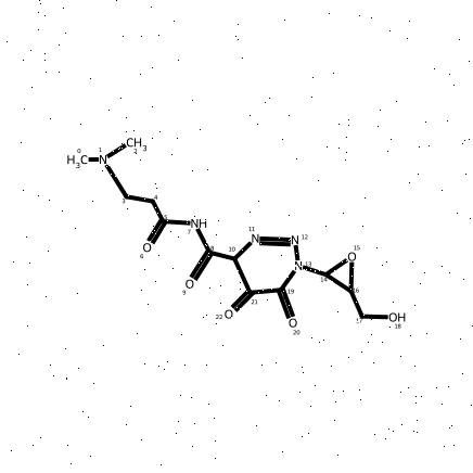 CN(C)CCC(=O)NC(=O)C1N=NN(C2OC2CO)C(=O)C1=O